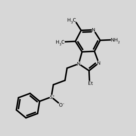 CCc1nc2c(N)nc(C)c(C)c2n1CCC[S+]([O-])c1ccccc1